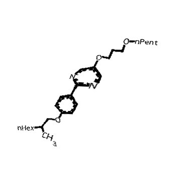 CCCCCCC(C)COc1ccc(-c2ncc(OCCCOCCCCC)cn2)cc1